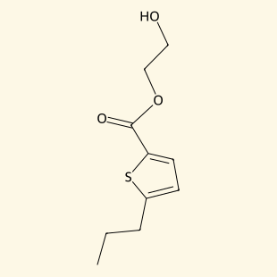 CCCc1ccc(C(=O)OCCO)s1